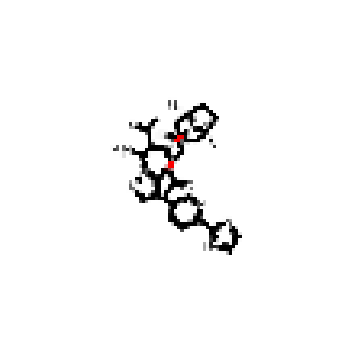 CC(=O)OCC(=O)N1[C@@H]2CC[C@H]1C[C@H](c1nc3c(-c4ccc(-c5ncc[nH]5)nc4)cnn3c(N)c1C(C)=O)C2